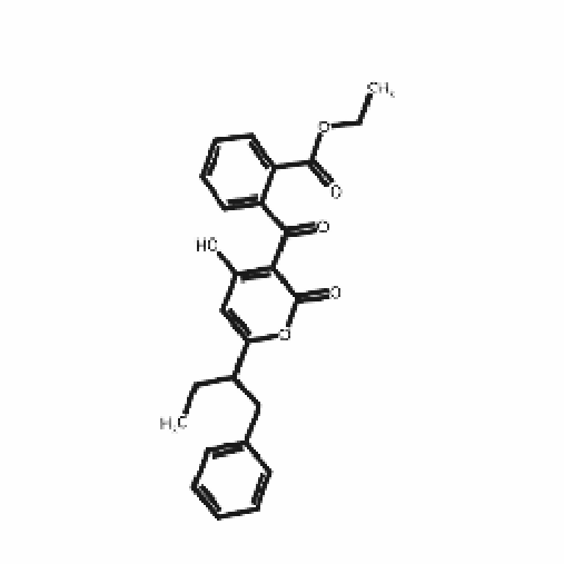 CCOC(=O)c1ccccc1C(=O)c1c(O)cc(C(CC)Cc2ccccc2)oc1=O